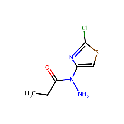 CCC(=O)N(N)c1csc(Cl)n1